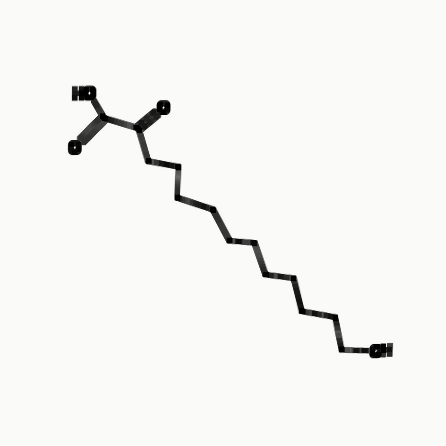 O=C(O)C(=O)CCCCCCCCCCCO